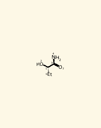 [CH2]C[C@H](O)C(N)=O